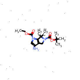 CCOC(=O)n1cc(N)c2c1C(C)(C)N(C(=O)OC(C)(C)C)C2